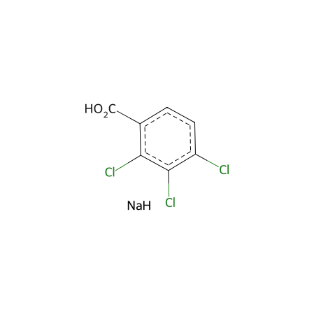 O=C(O)c1ccc(Cl)c(Cl)c1Cl.[NaH]